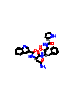 NC(=O)C[C@H](NC(=O)c1cnc2ccccc2c1)C(=O)N[C@@H](Cc1ccccc1)[C@H](O)CNC(=O)[C@@H]1CCCN1